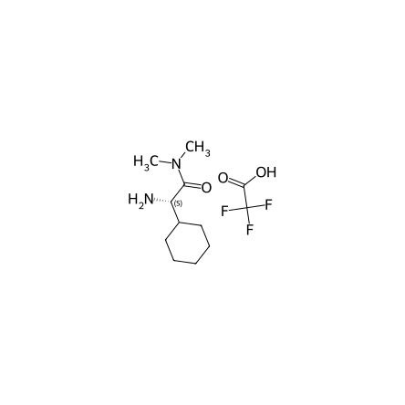 CN(C)C(=O)[C@@H](N)C1CCCCC1.O=C(O)C(F)(F)F